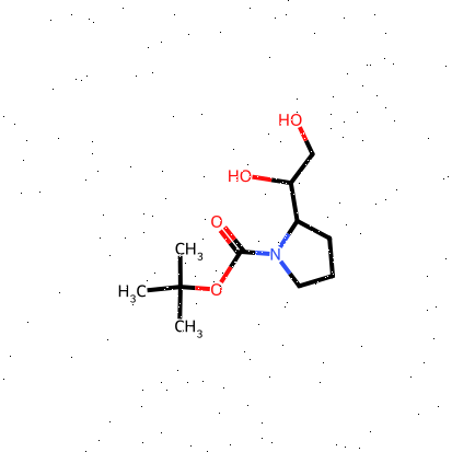 CC(C)(C)OC(=O)N1CCCC1C(O)CO